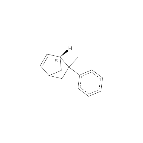 CC1(c2ccccc2)CC2C=C[C@H]1C2